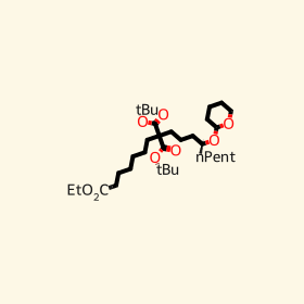 CCCCC[C@@H](CCCC(CCCCCCC(=O)OCC)(C(=O)OC(C)(C)C)C(=O)OC(C)(C)C)OC1CCCCO1